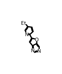 CCc1ccc(-c2cc3ncncc3o2)nc1